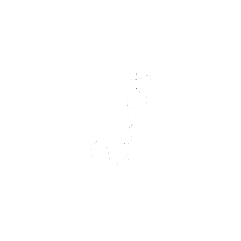 CC(=NOCCOC1CCN(C(C)(C)C)CC1)c1ccncc1